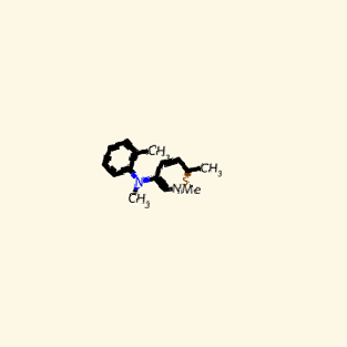 CN/C=C(\C=C/C(C)=S)N(C)c1ccccc1C